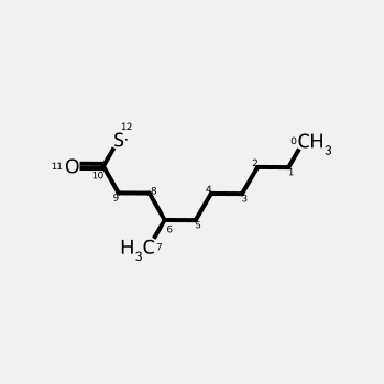 CCCCCCC(C)CCC(=O)[S]